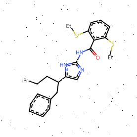 CCSc1cccc(SCC)c1C(=O)Nc1ncc(C(CCC(C)C)Cc2ccccc2)[nH]1